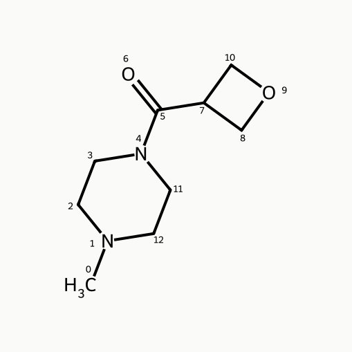 CN1CCN(C(=O)C2COC2)CC1